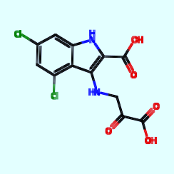 O=C(O)C(=O)CNc1c(C(=O)O)[nH]c2cc(Cl)cc(Cl)c12